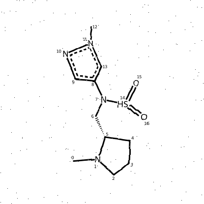 CN1CCC[C@H]1CN(c1cnn(C)c1)[SH](=O)=O